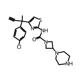 C#CC(C)(c1ccc(Cl)cc1)c1csc(NC(=O)N2CC(N3CCNCC3)C2)n1